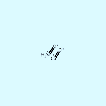 O=[SiH2].[O]=[Co]